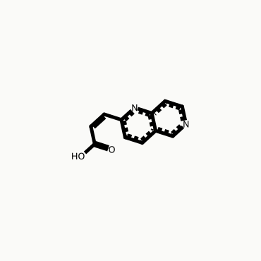 O=C(O)/C=C\c1ccc2cnccc2n1